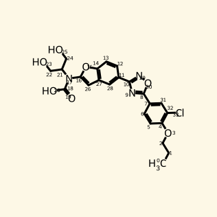 CCCOc1ccc(-c2nc(-c3ccc4oc(N(C(=O)O)C(CO)CO)cc4c3)no2)cc1Cl